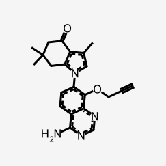 C#CCOc1c(-n2cc(C)c3c2CC(C)(C)CC3=O)ccc2c(N)ncnc12